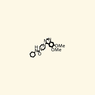 COc1cc2ncnc(N3CCN(C(=O)NC4CCCCC4)CC3)c2cc1OC